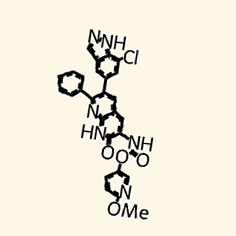 COc1ccc(OC(=O)Nc2cc3cc(-c4cc(Cl)c5[nH]ncc5c4)c(-c4ccccc4)nc3[nH]c2=O)cn1